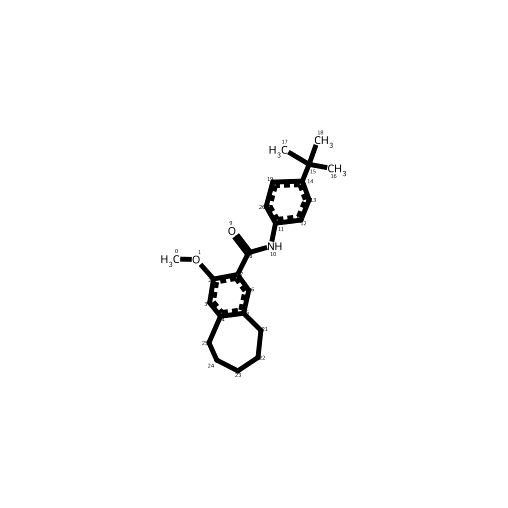 COc1cc2c(cc1C(=O)Nc1ccc(C(C)(C)C)cc1)CCCCC2